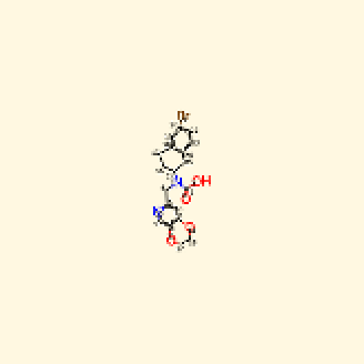 O=C(O)N(Cc1cc2c(cn1)OCCO2)C1CCc2cc(Br)ccc2C1